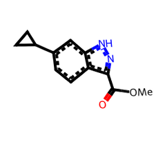 COC(=O)c1n[nH]c2cc(C3CC3)ccc12